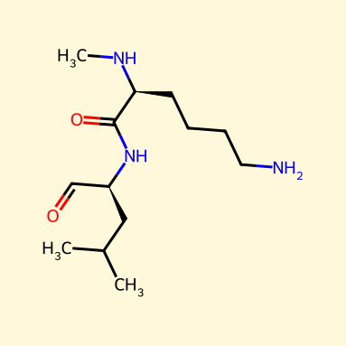 CN[C@@H](CCCCN)C(=O)N[C@H](C=O)CC(C)C